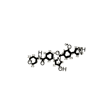 COc1cc(C(=O)N2CC(O)C[C@@H]2c2cccc(C(=O)NC3CCOCC3)c2)ccc1-c1cn[nH]c1